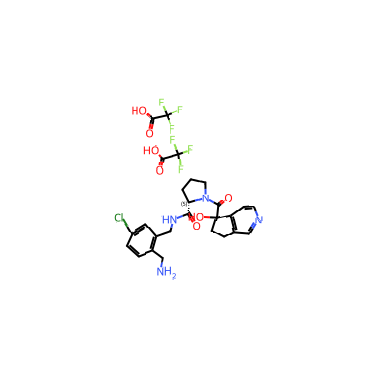 NCc1ccc(Cl)cc1CNC(=O)[C@@H]1CCCN1C(=O)C1(O)CCc2cnccc21.O=C(O)C(F)(F)F.O=C(O)C(F)(F)F